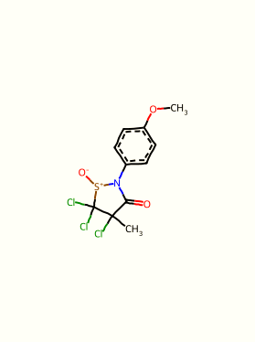 COc1ccc(N2C(=O)C(C)(Cl)C(Cl)(Cl)[S+]2[O-])cc1